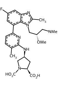 CNC[C@@H](Cn1c(C)nc2cc(F)cc(-c3ccc(C)c(N[C@H]4C[C@@H](C(=O)O)N(C(=O)O)C4)n3)c21)OC